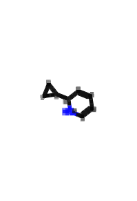 [C]1=CC=CNC1C1CC1